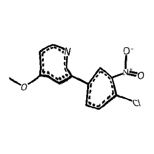 COc1ccnc(-c2ccc(Cl)c([N+](=O)[O-])c2)c1